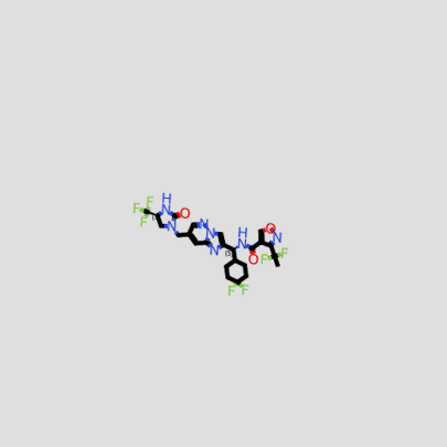 CC(F)(F)c1nocc1C(=O)N[C@H](c1cn2ncc(CN3C[C@@H](C(F)(F)F)NC3=O)cc2n1)C1CCC(F)(F)CC1